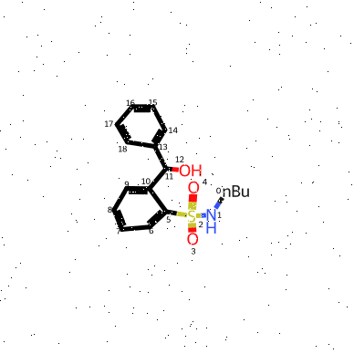 CCCCNS(=O)(=O)c1ccccc1C(O)c1ccccc1